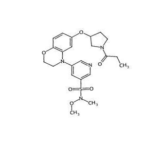 CCC(=O)N1CCC(Oc2ccc3c(c2)N(c2cncc(S(=O)(=O)N(C)OC)c2)CCO3)C1